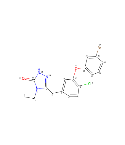 CCn1c(Cc2ccc(Cl)c(Oc3cccc(Br)c3)c2)n[nH]c1=O